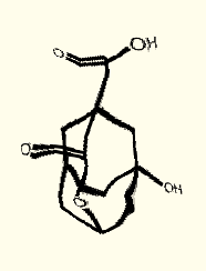 O=C(O)C12CC3CC(CC(O)(C3)C1)OC2=O